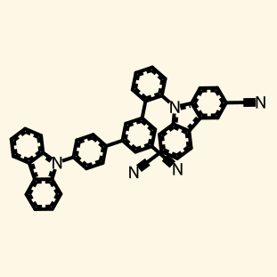 N#Cc1cc(-c2ccc(-n3c4ccccc4c4ccccc43)cc2)cc(-c2ccccc2-n2c3ccc(C#N)cc3c3ccc(C#N)cc32)c1